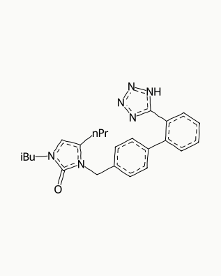 CCCc1cn(C(C)CC)c(=O)n1Cc1ccc(-c2ccccc2-c2nnn[nH]2)cc1